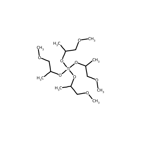 COCC(C)[O][Ti]([O]C(C)COC)([O]C(C)COC)[O]C(C)COC